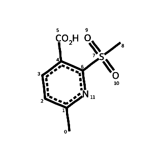 Cc1ccc(C(=O)O)c(S(C)(=O)=O)n1